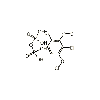 ClOc1ccc(Cl)c(OCl)c1Cl.O=P(O)(O)OP(=O)(O)O